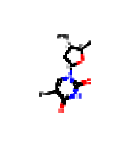 CCc1cn([C@H]2C[C@H](OC(C)=O)[C@@H](C)O2)c(=O)[nH]c1=O